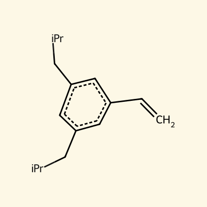 C=Cc1cc(CC(C)C)cc(CC(C)C)c1